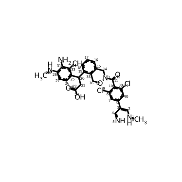 CN/C=C(\C=N)c1cc(Cl)c(C(=O)N2Cc3cccc(C(CC(=O)O)c4ccc(NC)c(N)c4C)c3CO2)c(Cl)c1